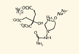 NC(=O)NN1CCNC1.O.O.O=C([O-])CC(O)(CC(=O)[O-])C(=O)[O-].[Na+].[Na+].[Na+]